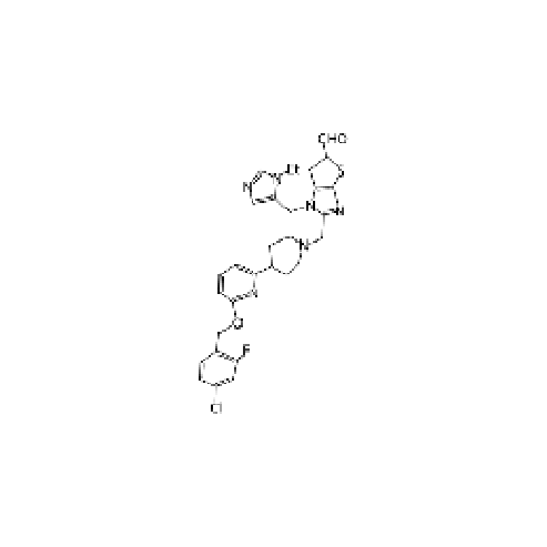 CCn1cncc1Cn1c(CN2CCC(c3cccc(OCc4ccc(Cl)cc4F)n3)CC2)nc2c1CC(C=O)S2